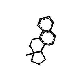 CC12CCCC1c1ccc3ccccc3c1CC2